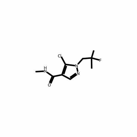 CNC(=O)c1cnn(CC(C)(C)F)c1Cl